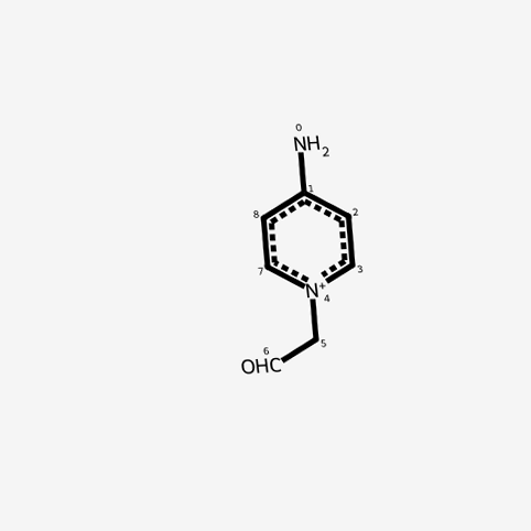 Nc1cc[n+](CC=O)cc1